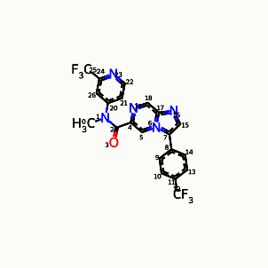 CN(C(=O)c1cn2c(-c3ccc(C(F)(F)F)cc3)cnc2cn1)c1ccnc(C(F)(F)F)c1